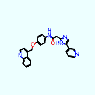 O=C(Cc1ncc(-c2cccnc2)[nH]1)Nc1ccc(OCc2ccnc3ccccc23)cc1